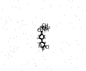 CS(=O)(=O)NC(=O)c1ccc(-c2cnc(F)c(Cl)c2)cc1